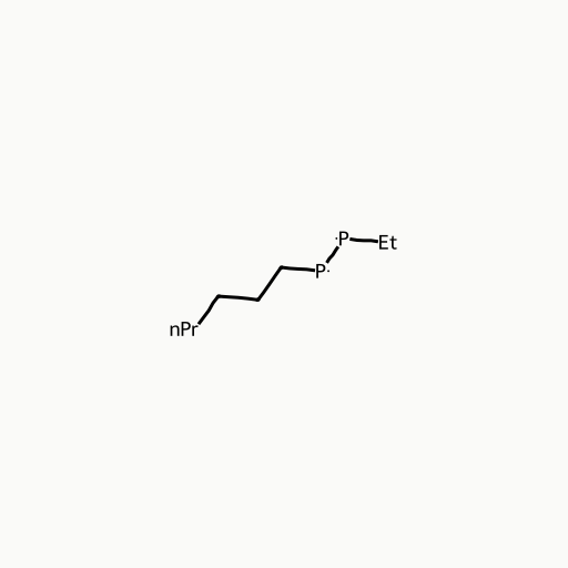 CCCCCC[P][P]CC